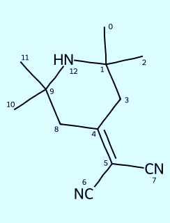 CC1(C)CC(=C(C#N)C#N)CC(C)(C)N1